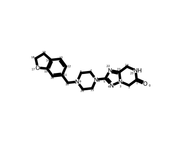 O=C1Cn2nc(N3CCN(Cc4ccc5c(c4)OCC5)CC3)nc2CN1